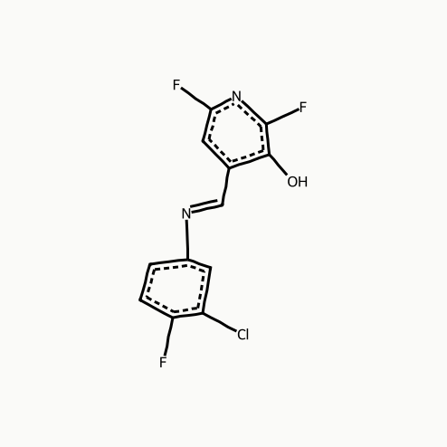 Oc1c(C=Nc2ccc(F)c(Cl)c2)cc(F)nc1F